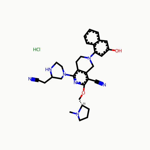 CN1CCC[C@H]1COc1nc(N2CCNC(CC#N)C2)c2c(c1C#N)CN(c1cc(O)cc3ccccc13)CC2.Cl